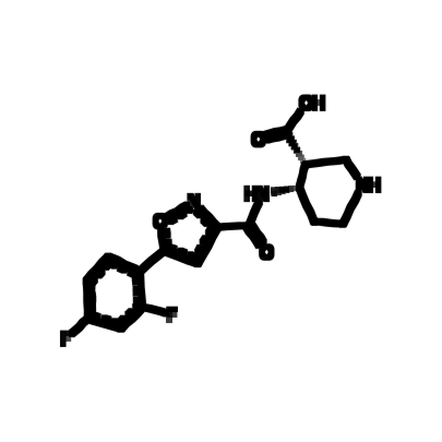 O=C(N[C@H]1CCNC[C@H]1C(=O)O)c1cc(-c2ccc(F)cc2F)on1